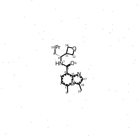 Cc1ccc(C(=O)N[C@H](CC(C)C)C2COC2)c2ncc(C)n12